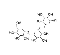 CC(C)C1CC(CO[C@H]2CC(COC3CC(CO)C(O)C(O)C3O)C(O)C(O)C2O)C(O)C(O)C1O